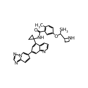 Cc1ccc(O[C@@H]([SiH3])[C@@H]2CCN2)cc1C(=O)NC1(c2cc(-c3ccc4ncnn4c3)cc3ncccc23)CC1